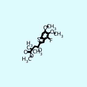 COC(=O)C(C)(C)CC(=O)c1cc2c(F)c(OC)c(OC)cc2s1